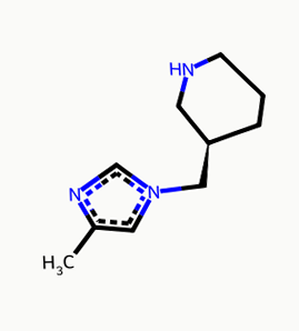 Cc1cn(C[C@@H]2CCCNC2)cn1